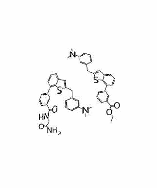 CCOC(=O)c1cccc(-c2cccc3cc(Cc4cccc(N(C)C)c4)sc23)c1.CN(C)c1cccc(Cc2cc3cccc(-c4cccc(C(=O)NCC(N)=O)c4)c3s2)c1